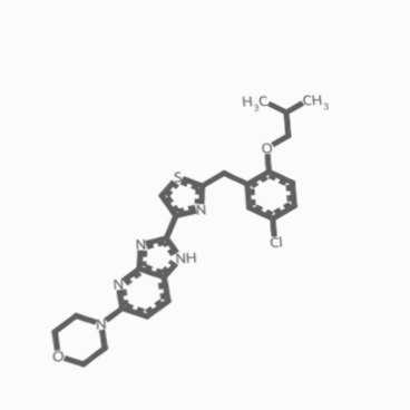 CC(C)COc1ccc(Cl)cc1Cc1nc(-c2nc3nc(N4CCOCC4)ccc3[nH]2)cs1